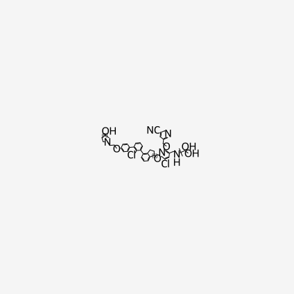 CC(C)(NCc1cc(Cl)c(O[C@H]2CCc3c(-c4cccc(-c5ccc(OCCN6CC[C@@H](O)C6)cc5)c4Cl)cccc32)nc1OCc1cncc(C#N)c1)C(O)O